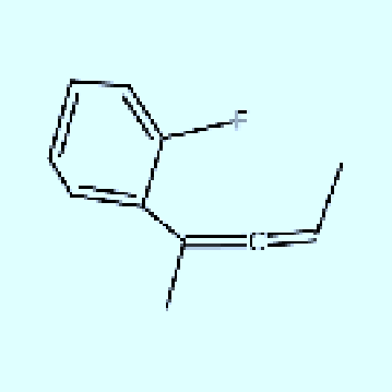 CC=C=C(C)c1ccccc1F